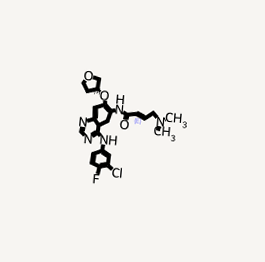 CN(C)C/C=C/C(=O)NC1=C(O[C@H]2CCOC2)C=C2N=CN=C(Nc3ccc(F)c(Cl)c3)C2C1